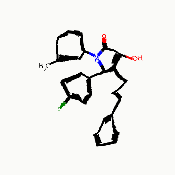 Cc1cccc(N2C(=O)C(O)=C(CC=Cc3ccccc3)C2c2ccc(F)cc2)c1